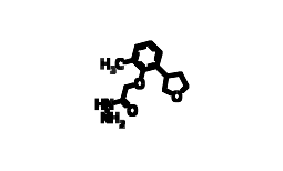 Cc1cccc(C2CCOC2)c1OCC(=O)NN